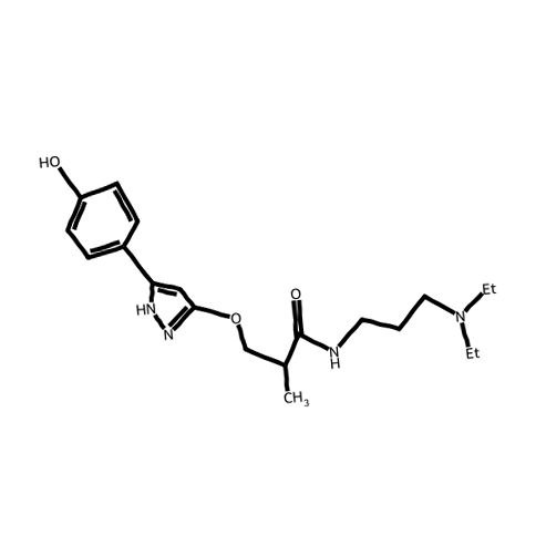 CCN(CC)CCCNC(=O)C(C)COc1cc(-c2ccc(O)cc2)[nH]n1